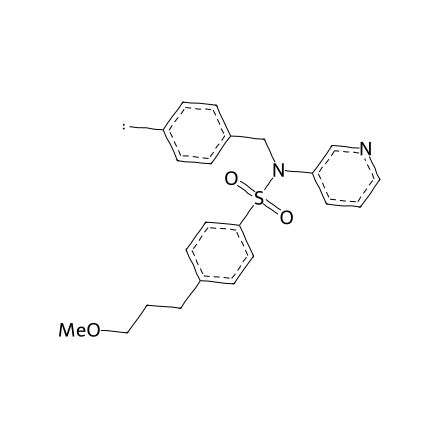 [CH]c1ccc(CN(c2cccnc2)S(=O)(=O)c2ccc(CCCOC)cc2)cc1